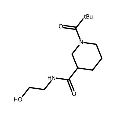 CC(C)(C)C(=O)N1CCCC(C(=O)NCCO)C1